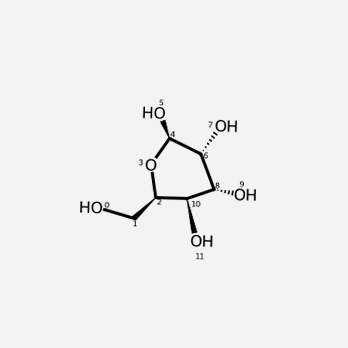 OC[C@H]1O[C@@H](O)[C@H](O)[C@H](O)[C@H]1O